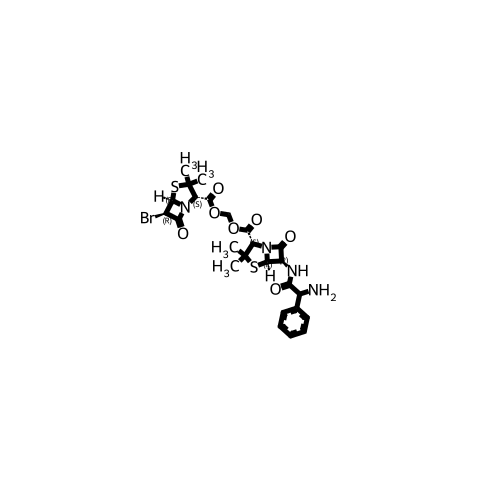 CC1(C)S[C@@H]2[C@H](Br)C(=O)N2[C@H]1C(=O)OCOC(=O)[C@@H]1N2C(=O)[C@@H](NC(=O)C(N)c3ccccc3)[C@H]2SC1(C)C